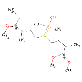 CO[SiH](OC)C(C)CCS(CCC(C)[SiH](OC)OC)=P(C)(C)O